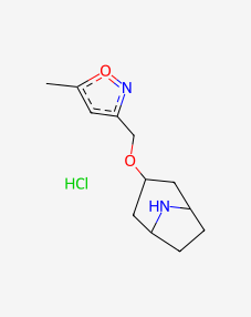 Cc1cc(COC2CC3CCC(C2)N3)no1.Cl